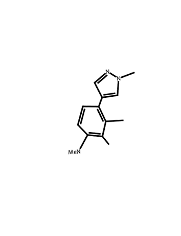 CNc1ccc(-c2cnn(C)c2)c(C)c1C